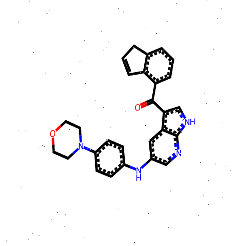 O=C(c1cccc2c1C=CC2)c1c[nH]c2ncc(Nc3ccc(N4CCOCC4)cc3)cc12